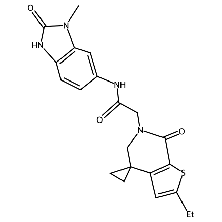 CCc1cc2c(s1)C(=O)N(CC(=O)Nc1ccc3[nH]c(=O)n(C)c3c1)CC21CC1